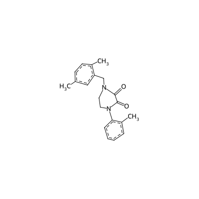 Cc1ccc(C)c(CN2CCN(c3ccccc3C)C(=O)C2=O)c1